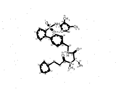 Cc1noc(NS(=O)(=O)c2ccccc2-c2ccc(CNC(=O)[C@H](CC(C)C)N(C)C(=O)CCc3ccccc3)cc2)c1C